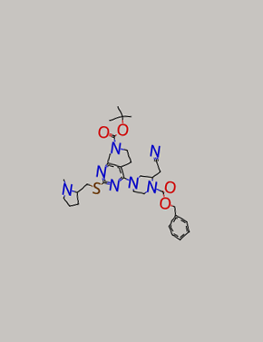 CN1CCCC1CSc1nc2c(c(N3CCN(C(=O)OCc4ccccc4)C(CC#N)C3)n1)CCN(C(=O)OC(C)(C)C)C2